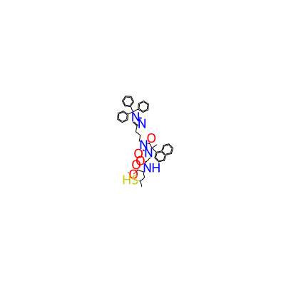 COC(=O)C(CC(C)S)NC(=O)CN1C(=O)N(CCCc2cn(C(c3ccccc3)(c3ccccc3)c3ccccc3)cn2)C(=O)C1(C)c1cccc2ccccc12